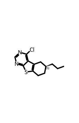 CCC[C@H]1CCc2sc3ncnc(Cl)c3c2C1